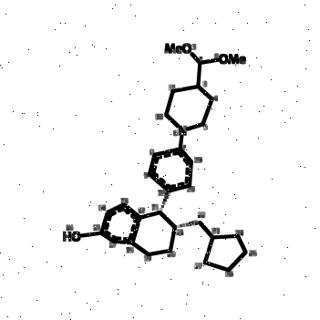 COC(OC)C1CCN(c2ccc([C@H]3c4ccc(O)cc4CC[C@H]3CC3CCCC3)cc2)CC1